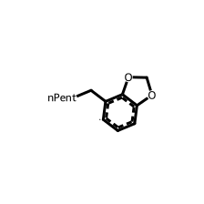 CCCCCCc1[c]ccc2c1OCO2